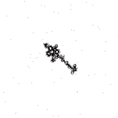 O=C(NCCOCCOCCOCCN1C(=O)C=CC1=O)c1ccc2c(c1)C1(OC2=O)c2ccc(N3CCC3)cc2[Si]2(CCCCC2)c2cc(N3CCC3)ccc21